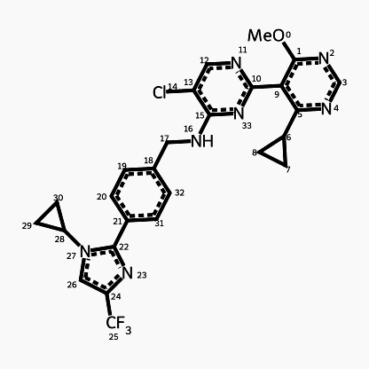 COc1ncnc(C2CC2)c1-c1ncc(Cl)c(NCc2ccc(-c3nc(C(F)(F)F)cn3C3CC3)cc2)n1